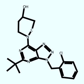 CC(C)(C)c1nc(N2CCC(O)CC2)c2nnn(Cc3ccccc3Cl)c2n1